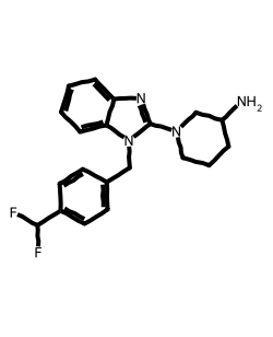 NC1CCCN(c2nc3ccccc3n2Cc2ccc(C(F)F)cc2)C1